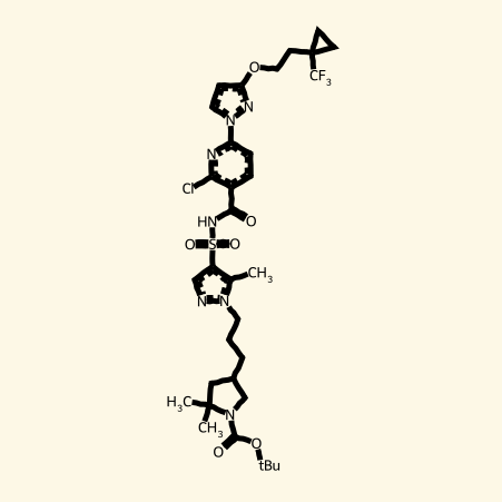 Cc1c(S(=O)(=O)NC(=O)c2ccc(-n3ccc(OCCC4(C(F)(F)F)CC4)n3)nc2Cl)cnn1CCCC1CN(C(=O)OC(C)(C)C)C(C)(C)C1